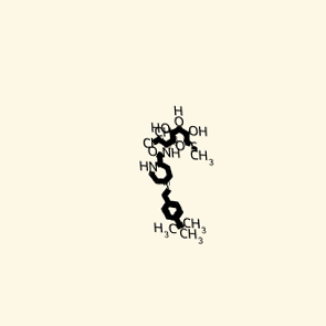 CSC1O[C@H]([C@H](NC(=O)C2CC[C@H](CCc3ccc(C(C)(C)C)cc3)CCN2)[C@H](C)Cl)[C@@H](O)C(O)[C@H]1O